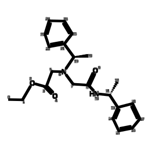 CCOC(=O)CN(CC(=O)N[C@H](C)c1ccccc1)[C@H](C)c1ccccc1